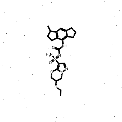 CCOC1COc2c(S(N)(=O)=NC(=O)Nc3c4c(cc5c3CCC5C)CCC4)cnn2C1